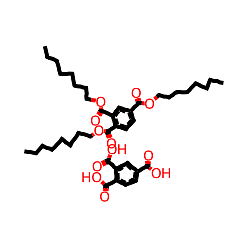 CCCCCCCCOC(=O)c1ccc(C(=O)OCCCCCCCC)c(C(=O)OCCCCCCCC)c1.O=C(O)c1ccc(C(=O)O)c(C(=O)O)c1